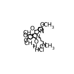 COc1cnc2c(c1)C(=O)c1c-2n(CCCN(C)C)c(=O)c2cc(OC)c(OC)cc12.Cl